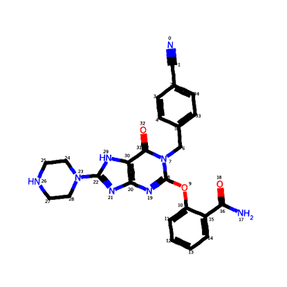 N#Cc1ccc(Cn2c(Oc3ccccc3C(N)=O)nc3nc(N4CCNCC4)[nH]c3c2=O)cc1